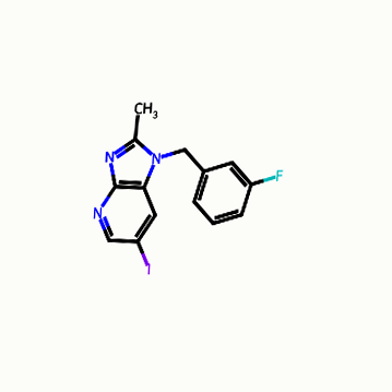 Cc1nc2ncc(I)cc2n1Cc1cccc(F)c1